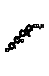 Cn1c2c(c3ccc(-n4ccc(-c5ccc(Cl)cn5)cc4=O)cc31)CCN(C(=O)O)C2